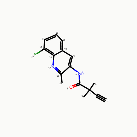 C#CC(C)(C)C(=O)Nc1cc2cccc(F)c2nc1C